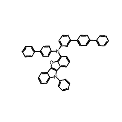 c1ccc(-c2ccc(-c3cccc(N(c4ccc(-c5ccccc5)cc4)c4cccc5c4oc4c6ccccc6n(-c6ccccc6)c54)c3)cc2)cc1